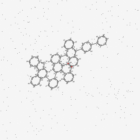 c1ccc(-c2ccc(-c3c4ccccc4c(-c4cccc5cc(-c6ccccc6-c6cc7oc8ccccc8c7c7ccccc67)c6c7ccccc7ccc6c45)c4ccccc34)cc2)cc1